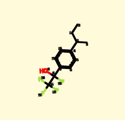 CCC(C)c1ccc(C(O)(F)C(F)(F)F)cc1